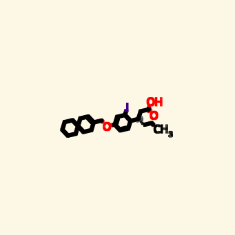 CCC[C@@H](CC(=O)O)C1C=CC(OCC2=CCC3(CCCCC3)CC2)=CC1I